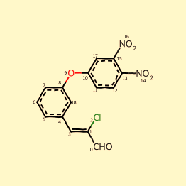 O=C/C(Cl)=C/c1cccc(Oc2ccc([N+](=O)[O-])c([N+](=O)[O-])c2)c1